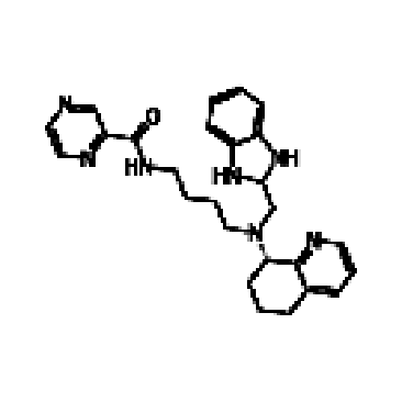 O=C(NCCCCN(CC1Nc2ccccc2N1)[C@H]1CCCc2cccnc21)c1cnccn1